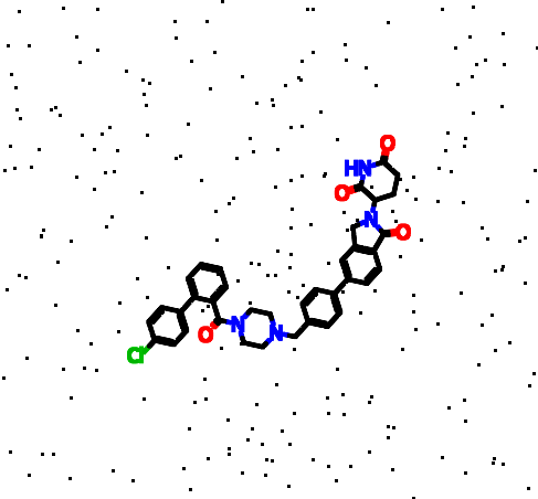 O=C1CCC(N2Cc3cc(-c4ccc(CN5CCN(C(=O)c6ccccc6-c6ccc(Cl)cc6)CC5)cc4)ccc3C2=O)C(=O)N1